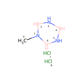 CN1BNBNB1.Cl.Cl